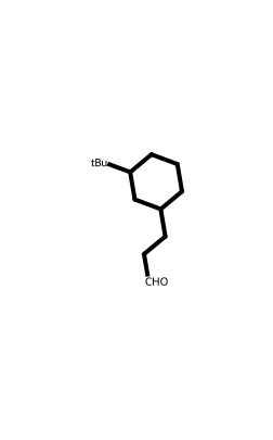 CC(C)(C)C1CCCC(CCC=O)C1